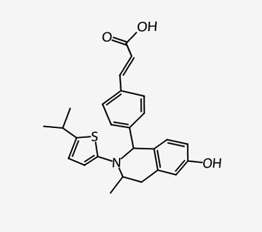 CC(C)c1ccc(N2C(C)Cc3cc(O)ccc3C2c2ccc(/C=C/C(=O)O)cc2)s1